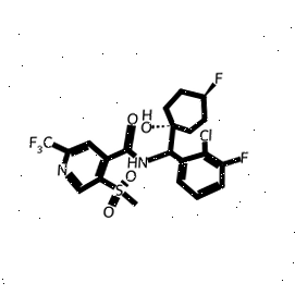 CS(=O)(=O)c1cnc(C(F)(F)F)cc1C(=O)NC(c1cccc(F)c1Cl)[C@]1(O)CC[C@H](F)CC1